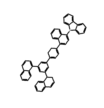 C1=Cc2ccccc2C(c2cc(C3=CC=C(c4ccc(-n5c6ccccc6c6ccccc65)c5ccccc45)CC3)cc(-c3cccc4ccccc34)c2)C1